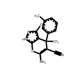 Cc1cccc(C2(C)C(C#N)=C(N)Oc3[nH]nc(C)c32)c1